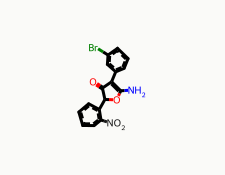 NC1=C(c2cccc(Br)c2)C(=O)C(c2ccccc2[N+](=O)[O-])O1